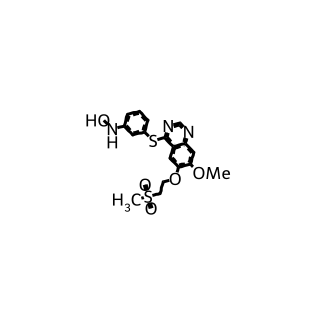 COc1cc2ncnc(Sc3cccc(NO)c3)c2cc1OCCS(C)(=O)=O